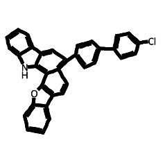 Clc1ccc(-c2ccc(-c3cc4c5ccccc5[nH]c4c4c3ccc3c5ccccc5oc34)cc2)cc1